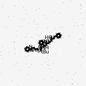 CC(C)(C)C(OCCCc1nc2ccccc2[nH]1)C(=O)NC(CC(O)CN[CH]C(O)CCc1ccccc1)c1ccccc1